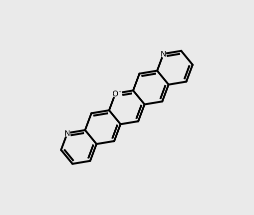 c1cnc2cc3[o+]c4cc5ncccc5cc4cc3cc2c1